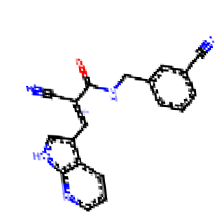 N#C/C(=C\c1c[nH]c2ncccc12)C(=O)NCc1cccc(C#N)c1